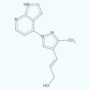 Cc1nn(-c2ccnc3[nH]ccc23)cc1C=CCO